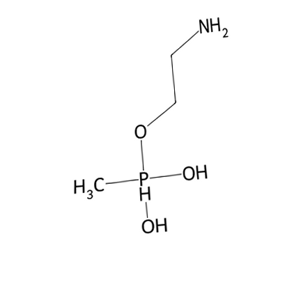 C[PH](O)(O)OCCN